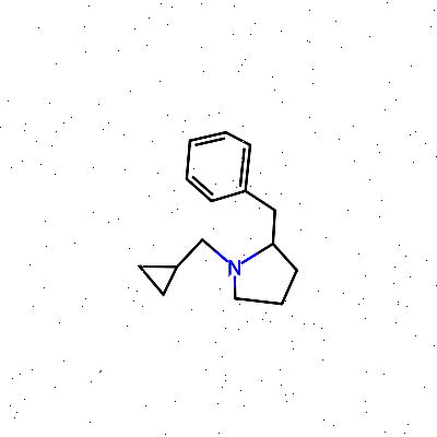 c1ccc(CC2CCCN2CC2CC2)cc1